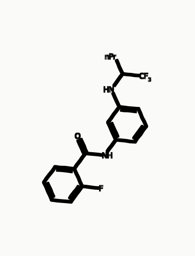 CCCC(Nc1cccc(NC(=O)c2ccccc2F)c1)C(F)(F)F